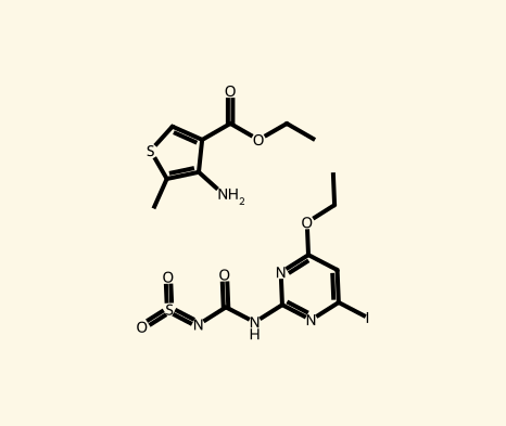 CCOC(=O)c1csc(C)c1N.CCOc1cc(I)nc(NC(=O)N=S(=O)=O)n1